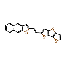 C(=C\c1cc2sc3ccsc3c2s1)/c1cc2cc3ccccc3cc2s1